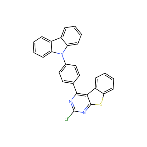 Clc1nc(-c2ccc(-n3c4ccccc4c4ccccc43)cc2)c2c(n1)sc1ccccc12